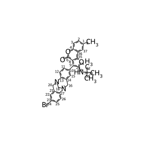 Cc1ccc2oc(=O)c3c(-c4ccc5c(c4)CN4CN5Cc5cc(Br)ccc54)c(NC(C)(C)C)oc3c2c1